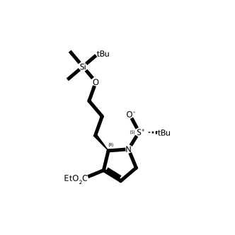 CCOC(=O)C1=CCN([S@+]([O-])C(C)(C)C)[C@@H]1CCCO[Si](C)(C)C(C)(C)C